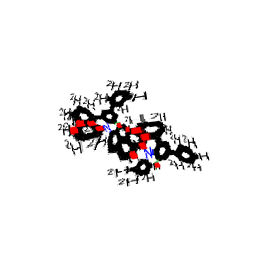 [2H]c1cc(N(c2c(F)cc(-c3c([2H])c([2H])c([2H])c([2H])c3[2H])cc2-c2c([2H])c([2H])c([2H])c([2H])c2[2H])c2ccc3ccc4c(N(c5c(F)cc(-c6c([2H])c([2H])c([2H])c([2H])c6[2H])cc5-c5c([2H])c([2H])c([2H])c([2H])c5[2H])c5c([2H])c([2H])c([2H])c([2H])c5[2H])ccc5ccc2c3c54)c([2H])c([2H])c1[2H]